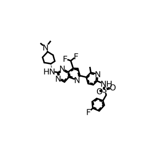 Cc1nc(NS(=O)(=O)Cc2ccc(F)cc2)ccc1-c1cc(C(F)F)c2nc(N[C@H]3CC[C@H](N(C)C)CC3)ncc2n1